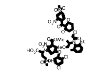 CCc1cccc(C)c1N(C(=O)CCl)C(C)COC.COC(=O)c1cc(Oc2ccc(Cl)cc2Cl)ccc1[N+](=O)[O-].CP(=O)(O)CCC(N)C(=O)O.CS(=O)(=O)c1ccc(C(=O)C2C(=O)CCCC2=O)c([N+](=O)[O-])c1